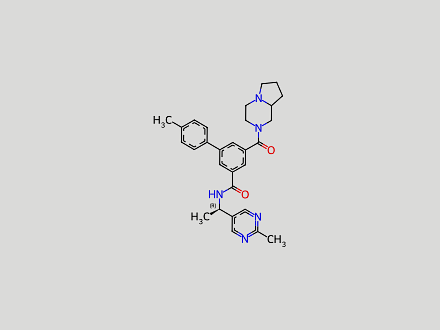 Cc1ccc(-c2cc(C(=O)N[C@H](C)c3cnc(C)nc3)cc(C(=O)N3CCN4CCCC4C3)c2)cc1